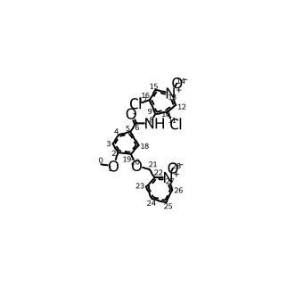 COc1ccc(C(=O)Nc2c(Cl)c[n+]([O-])cc2Cl)cc1OCc1cccc[n+]1[O-]